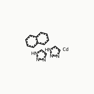 [Cd].c1c[nH]nn1.c1c[nH]nn1.c1ccc2ccccc2c1